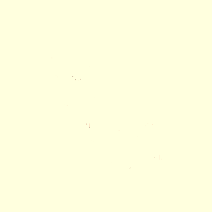 O=C(c1ccc(Cl)c(Cl)c1)N1CCC(N2CCCCC2)CC1